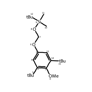 COc1c(C(C)(C)C)cc(OCO[Si](C)(C)C(C)(C)C)cc1C(C)(C)C